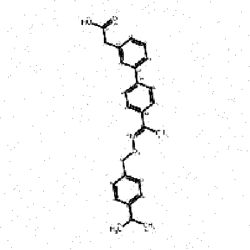 C/C(=N\OCc1ccc(C(C)C)cc1)c1ccc(-c2cccc(CC(=O)O)c2)cc1